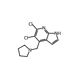 Clc1nc2[nH]ccc2c(CN2CCCC2)c1Cl